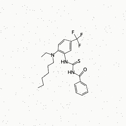 CCCCCCN(CC)c1ccc(C(F)(F)F)cc1NC(=S)NC(=O)c1ccccc1